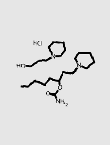 CCCCCC(CCN1CCCCC1)OC(N)=O.Cl.OCCCN1CCCCC1